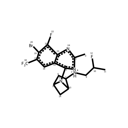 Cc1nc(N2C3CC(NCC(C)F)C2C3)c2cc(C(F)(F)F)c(Br)c(F)c2n1